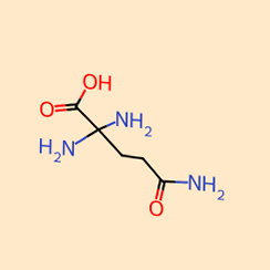 NC(=O)CCC(N)(N)C(=O)O